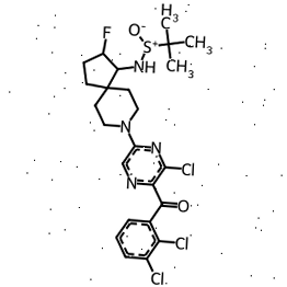 CC(C)(C)[S+]([O-])NC1C(F)CCC12CCN(c1cnc(C(=O)c3cccc(Cl)c3Cl)c(Cl)n1)CC2